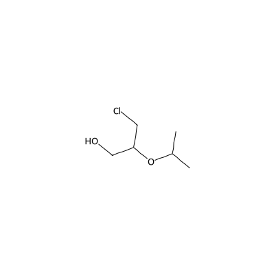 CC(C)OC(CO)CCl